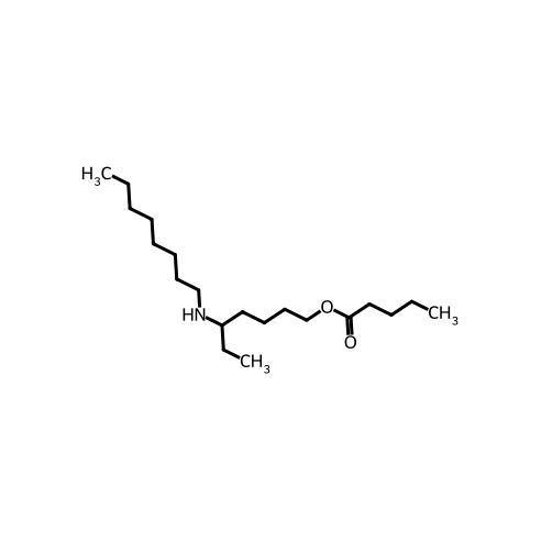 CCCCCCCCNC(CC)CCCCOC(=O)CCCC